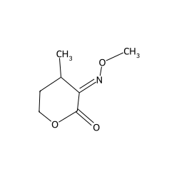 CO/N=C1/C(=O)OCCC1C